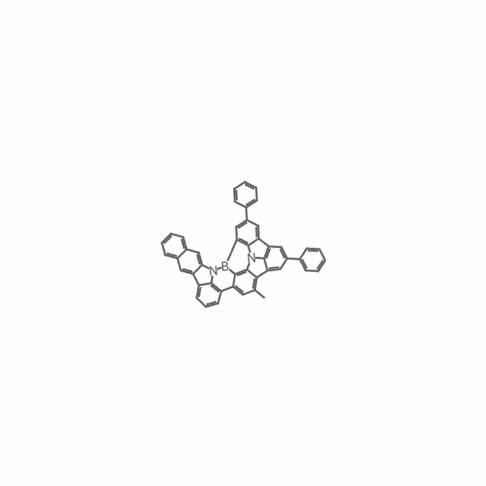 Cc1cc2c3c4c1c1cc(-c5ccccc5)cc5c6cc(-c7ccccc7)cc(c6n4c51)B3n1c3cc4ccccc4cc3c3cccc-2c31